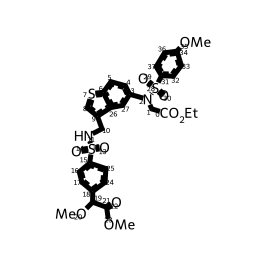 CCOC(=O)CN(c1ccc2scc(CNS(=O)(=O)c3ccc(C(OC)C(=O)OC)cc3)c2c1)S(=O)(=O)c1ccc(OC)cc1